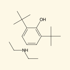 CC(C)(C)c1cccc(C(C)(C)C)c1O.CCNCC